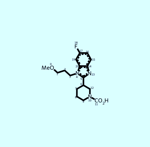 COCCCn1c(C2CCCN(C(=O)O)C2)nc2ccc(F)cc21